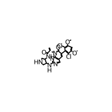 C=CC(=O)NC1CNCC1Nc1ncc2cc(-c3c(Cl)c(OC)cc(OC)c3Cl)c(=O)n(C)c2n1